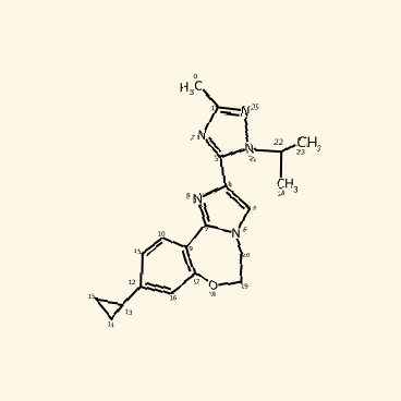 Cc1nc(-c2cn3c(n2)-c2ccc(C4CC4)cc2OCC3)n(C(C)C)n1